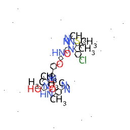 Cc1sc2c(c1C)C(c1ccc(Cl)cc1)=N[C@@H](CC(=O)N[C@H]1C[C@@H](Oc3cccc(-c4cnn(C(C(=O)N5C[C@H](O)C[C@H]5C(=O)N[C@@H](C)c5ccc(-c6nccn6C)cc5)C(C)C)c4)c3)C1)c1nnc(C)n1-2